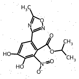 Cc1nc(-c2cc(O)c(O)c([N+](=O)[O-])c2C(=O)OC(C)C)no1